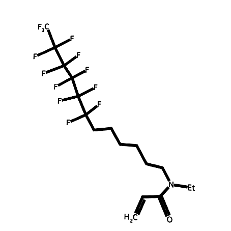 C=CC(=O)N(CC)CCCCCCC(F)(F)C(F)(F)C(F)(F)C(F)(F)C(F)(F)C(F)(F)F